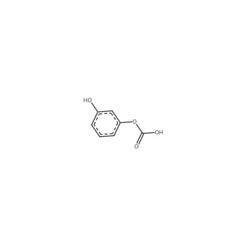 O=C(O)Oc1cccc(O)c1